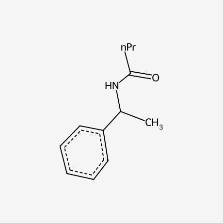 CCCC(=O)NC(C)c1ccccc1